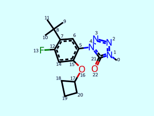 Cn1nnn(-c2cc(C(C)(C)C)c(F)cc2OC2CCC2)c1=O